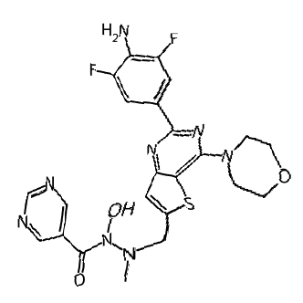 CN(Cc1cc2nc(-c3cc(F)c(N)c(F)c3)nc(N3CCOCC3)c2s1)N(O)C(=O)c1cncnc1